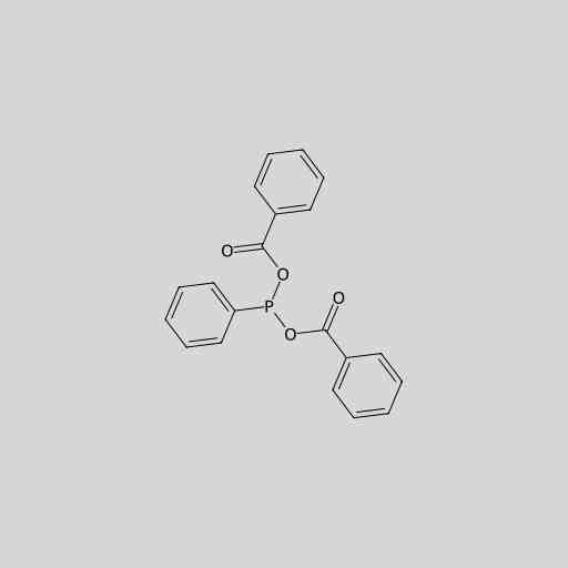 O=C(OP(OC(=O)c1ccccc1)c1ccccc1)c1ccccc1